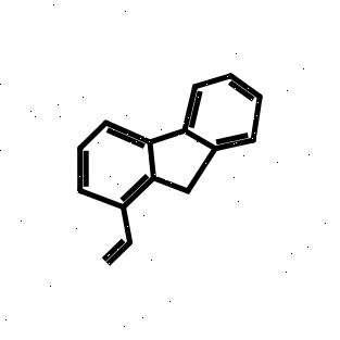 C=Cc1cccc2c1Cc1ccccc1-2